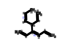 C=C/N=C(/C=C)N(C=C)/N=C\C